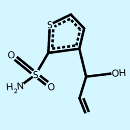 C=CC(O)c1ccsc1S(N)(=O)=O